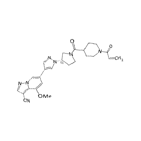 C=CC(=O)N1CCC(C(=O)N2CC[C@H](n3cc(-c4cc(OC)c5c(C#N)cnn5c4)cn3)C2)CC1